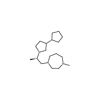 C[C@H](CN1CCCN(C)CC1)N1CCC(N2CCCC2)C1